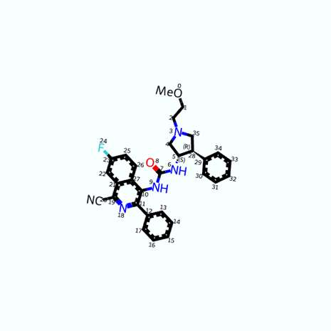 COCCN1C[C@@H](NC(=O)Nc2c(-c3ccccc3)nc(C#N)c3cc(F)ccc23)[C@H](c2ccccc2)C1